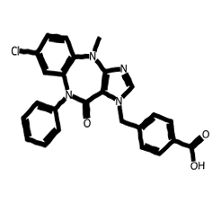 CN1c2ccc(Cl)cc2N(c2ccccc2)C(=O)c2c1ncn2Cc1ccc(C(=O)O)cc1